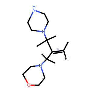 CC/C(C)=C(/C(C)(C)N1CCNCC1)C(C)(C)N1CCOCC1